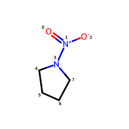 O=[N+]([O-])N1CCCC1